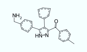 Cc1ccc(C(=O)c2n[nH]c(-c3ccc(CN)cc3)c2-c2ccccc2)cc1